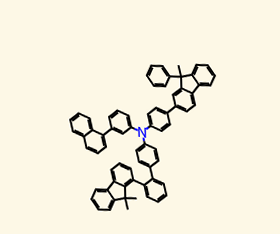 CC1(C)c2ccccc2-c2cccc(-c3ccccc3-c3ccc(N(c4ccc(-c5ccc6c(c5)C(C)(c5ccccc5)c5ccccc5-6)cc4)c4cccc(-c5cccc6ccccc56)c4)cc3)c21